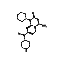 CC(=O)N(c1ncc2c(N)cc(=O)n(C3CCCCC3)c2n1)C1CCNCC1